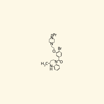 CCCN1CCN(CCOc2cc(C(=O)N3CC[C@H](C)Nc4ccccc43)ccc2Br)CC1